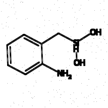 Nc1ccccc1C[SiH](O)O